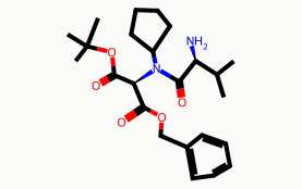 CC(C)[C@H](N)C(=O)N(C1CCCC1)[C@@H](C(=O)OCc1ccccc1)C(=O)OC(C)(C)C